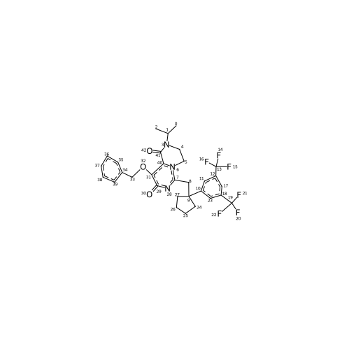 CC(C)N1CCn2c(CC3(c4cc(C(F)(F)F)cc(C(F)(F)F)c4)CCCC3)nc(=O)c(OCc3ccccc3)c2C1=O